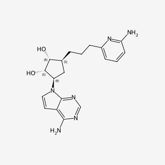 Nc1cccc(CCC[C@H]2C[C@@H](n3ccc4c(N)ncnc43)[C@H](O)[C@@H]2O)n1